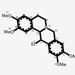 CCC1c2cc(OC)c(OC)cc2CN2CCc3cc(OC)c(OC)cc3C12